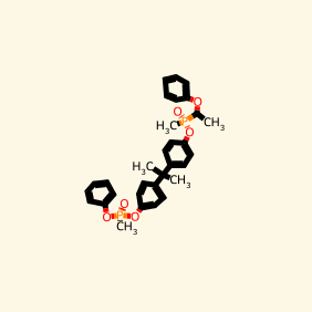 CC(Oc1ccccc1)P(C)(=O)Oc1ccc(C(C)(C)c2ccc(OP(C)(=O)Oc3ccccc3)cc2)cc1